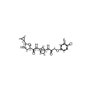 O=C(COc1ccc(Cl)c(F)c1)NC12CC(C1)C(NC(=O)C1CNC(C3CC3)O1)C2